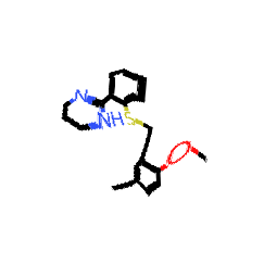 COc1ccc(C)cc1CSc1ccccc1C1=NCCCN1